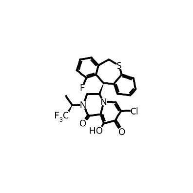 C[C@@H](N1CC([C@@H]2c3ccccc3SCc3cccc(F)c32)n2cc(Cl)c(=O)c(O)c2C1=O)C(F)(F)F